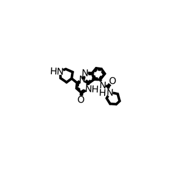 O=C(Nc1cccc2nn3c(C4CCNCC4)cc(=O)[nH]c3c12)N1CCCCC1